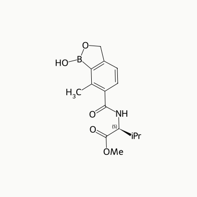 COC(=O)[C@@H](NC(=O)c1ccc2c(c1C)B(O)OC2)C(C)C